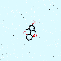 Cc1cc(O)cc(C)c1C1C(=O)CCCC1=O